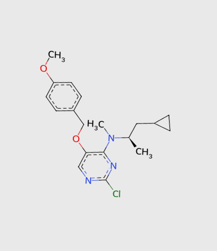 COc1ccc(COc2cnc(Cl)nc2N(C)[C@H](C)CC2CC2)cc1